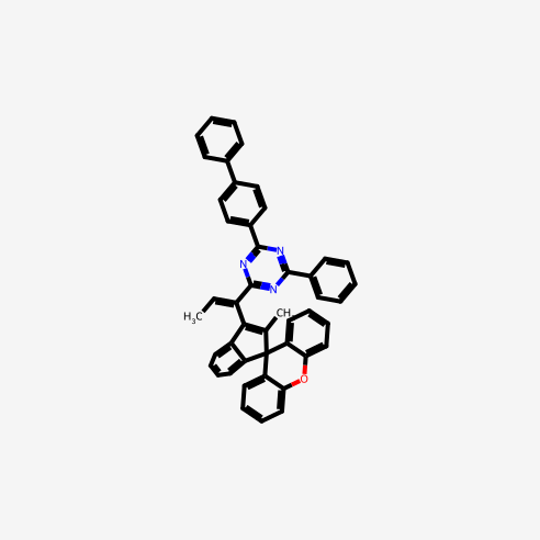 C/C=C(\C1=C(C)C2(c3ccccc3Oc3ccccc32)c2ccccc21)c1nc(-c2ccccc2)nc(-c2ccc(-c3ccccc3)cc2)n1